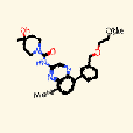 CNc1ccc(-c2cccc(COCCOC)c2)c2ncc(NC(=O)N3CCC(C)(O)CC3)nc12